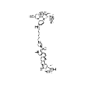 CC[C@@]1(O)C(=O)OCc2c1cc1n(c2=O)Cc2cc3c(CN(C)C)c(OC(=O)N4CCN(CCCCCCNc5ccc([C@H]6CC7[C@@H](CC[C@]7(OC(C)=O)C(C)=O)[C@@H]7CCC8=CC(O)CCC8=C76)cc5)CC4)ccc3nc2-1